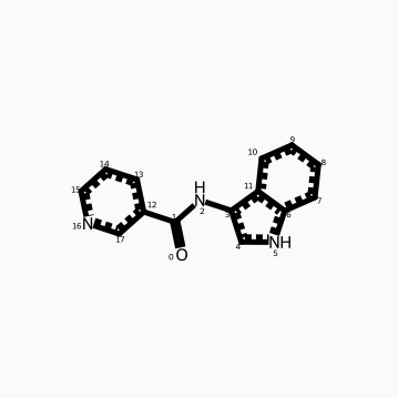 O=C(Nc1c[nH]c2ccccc12)c1cccnc1